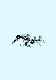 C#CCOc1cccc(C(=O)Cn2c(=O)c3c(nc(N4CCCC(NC(=O)OC(C)(C)C)C4)n3CC=C(C)C)n(C)c2=O)c1